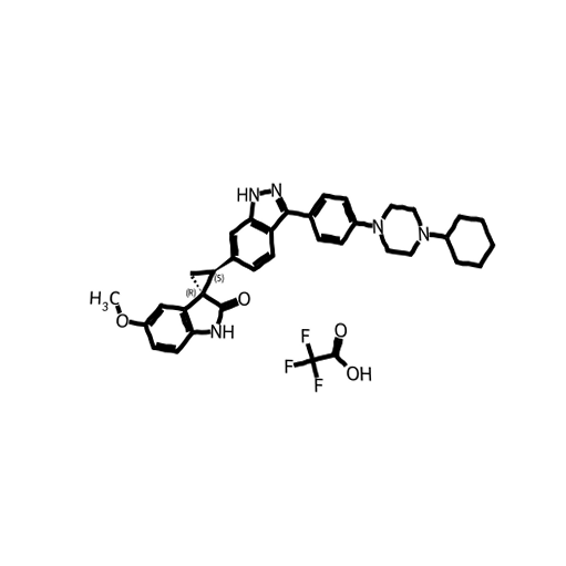 COc1ccc2c(c1)[C@]1(C[C@H]1c1ccc3c(-c4ccc(N5CCN(C6CCCCC6)CC5)cc4)n[nH]c3c1)C(=O)N2.O=C(O)C(F)(F)F